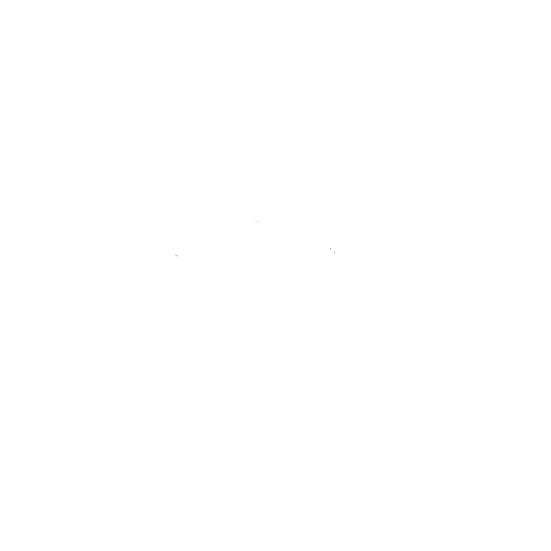 c1ccc([Si](c2ccccc2)(c2ccccc2)c2cccc(-n3c4ccccc4c4c(-n5c6ccccc6c6ccc([Si]7(c8ccccc8)c8ccccc8Oc8ccccc87)cc65)cccc43)c2)cc1